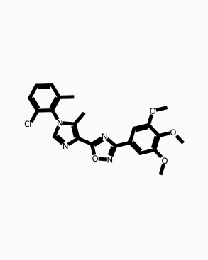 COc1cc(-c2noc(-c3ncn(-c4c(C)cccc4Cl)c3C)n2)cc(OC)c1OC